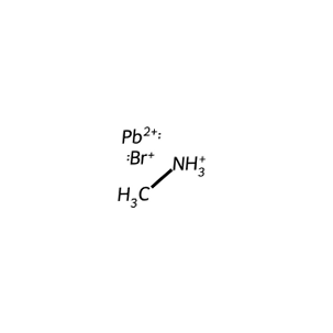 C[NH3+].[Br+].[Pb+2]